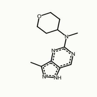 Cc1n[nH]c2cnc(N(C)C3CCOCC3)nc12